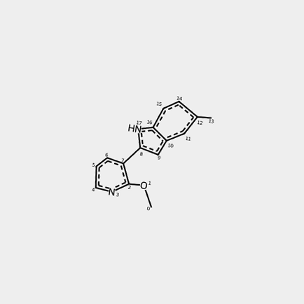 COc1ncccc1-c1cc2cc(C)ccc2[nH]1